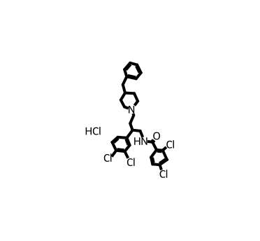 Cl.O=C(NCC(CCN1CCC(Cc2ccccc2)CC1)c1ccc(Cl)c(Cl)c1)c1ccc(Cl)cc1Cl